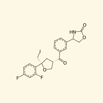 O=C1NC(c2cccc(C(=O)[C@@H]3CO[C@@](CI)(c4ccc(F)cc4F)C3)c2)CO1